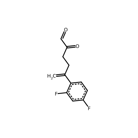 C=C(CCC(=O)C=O)c1ccc(F)cc1F